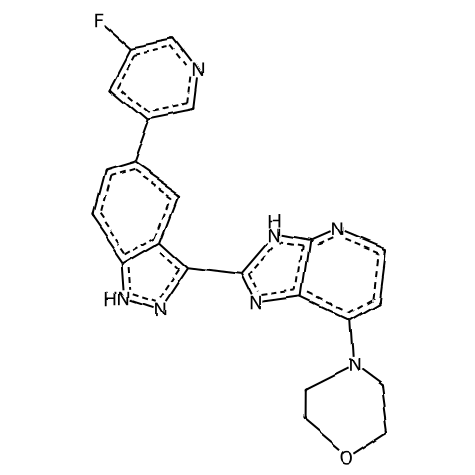 Fc1cncc(-c2ccc3[nH]nc(-c4nc5c(N6CCOCC6)ccnc5[nH]4)c3c2)c1